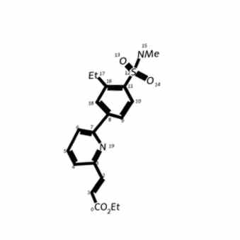 CCOC(=O)C=Cc1cccc(-c2ccc(S(=O)(=O)NC)c(CC)c2)n1